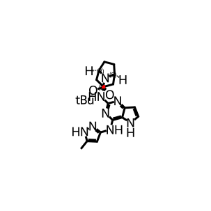 Cc1cc(Nc2nc(N[C@@H]3C[C@H]4CC[C@@H](C3)N4C(=O)OC(C)(C)C)nc3cc[nH]c23)n[nH]1